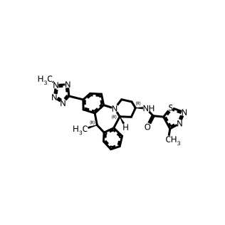 Cc1nnsc1C(=O)N[C@@H]1CCN2c3ccc(-c4nnn(C)n4)cc3[C@H](C)c3ccccc3[C@H]2C1